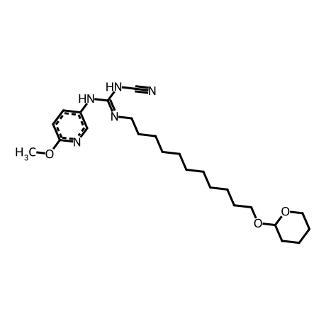 COc1ccc(NC(=NCCCCCCCCCCCOC2CCCCO2)NC#N)cn1